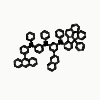 c1ccc(N(c2cccc(-c3c4ccccc4cc4ccccc34)c2)c2cccc(N(c3ccccc3)c3cc(-c4ccc5ccccc5c4)cc(N(c4ccccc4)c4cccc5c4-c4ccc6ccccc6c4C5(c4ccccc4)c4ccccc4)c3)c2)cc1